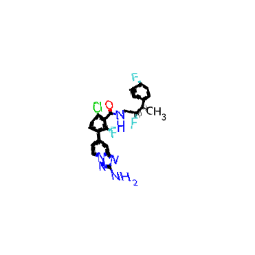 C[C@@H](c1ccc(F)cc1)[C@@H](F)CNC(=O)c1c(Cl)ccc(-c2ccn3nc(N)nc3c2)c1F